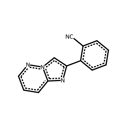 N#Cc1ccccc1-c1cn2ncccc2n1